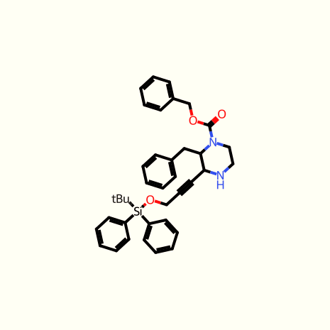 CC(C)(C)[Si](OCC#CC1NCCN(C(=O)OCc2ccccc2)C1Cc1ccccc1)(c1ccccc1)c1ccccc1